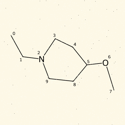 CCN1CCC(OC)CC1